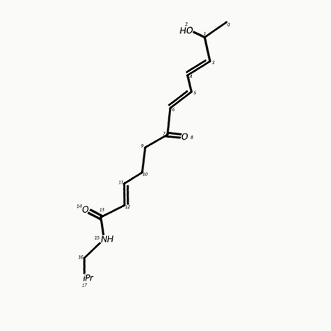 CC(O)C=CC=CC(=O)CCC=CC(=O)NCC(C)C